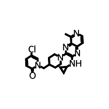 Cc1nccc2nc(NC3CC3)c(N3CCC(Cn4cc(Cl)ccc4=O)CC3)nc12